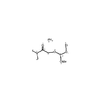 CCOP(OC)OCC(=O)N(C)C.P